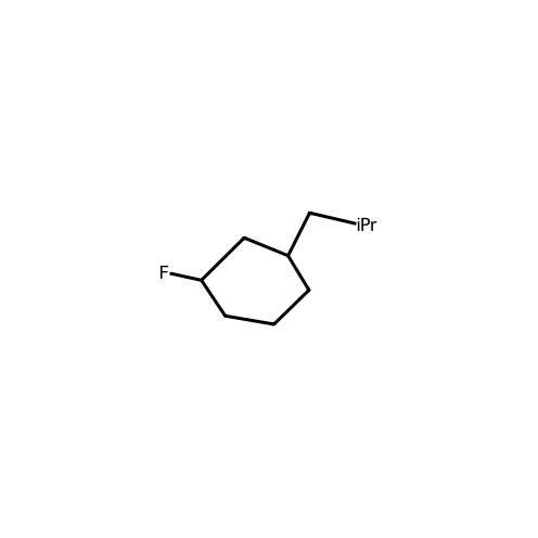 CC(C)CC1CCCC(F)C1